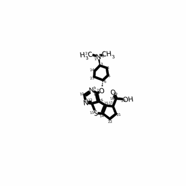 CN(C)[C@H]1CC[C@H](Oc2ncnc3sc4c(c23)C(C(=O)O)CC4)CC1